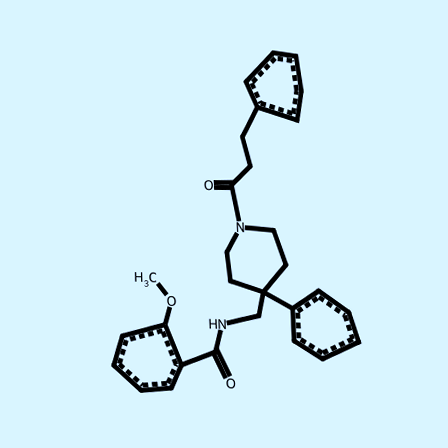 COc1ccccc1C(=O)NCC1(c2ccccc2)CCN(C(=O)CCc2ccccc2)CC1